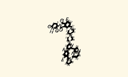 O=C1CCC(N2C(=O)c3cc(CN4CCC(N5CCN(c6cccc(-c7cnn8ccc(N9CCCC9c9ccc(F)cc9F)nc78)n6)CC5)CC4)cc(F)c3C2=O)C(=O)N1